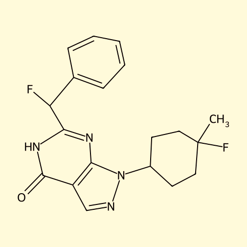 CC1(F)CCC(n2ncc3c(=O)[nH]c(C(F)c4ccccc4)nc32)CC1